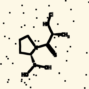 C[C@H](NCl)C(=S)N1CCC[C@H]1B(O)O